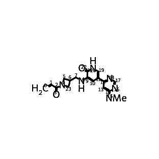 C=CC(=O)N1CC(CNc2cc(-c3cc(NC)ncn3)c[nH]c2=O)C1